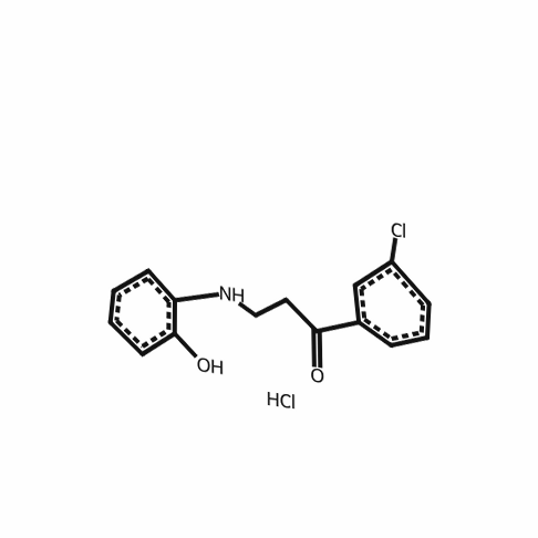 Cl.O=C(CCNc1ccccc1O)c1cccc(Cl)c1